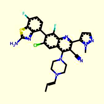 CC=CN1CCN(c2c(C#N)c(-c3ccnn3C)nc3c(F)c(-c4ccc(F)c5sc(N)nc45)c(Cl)cc23)CC1